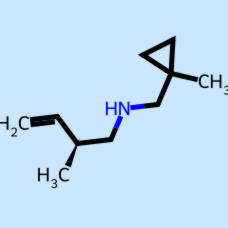 C=C[C@H](C)CNCC1(C)CC1